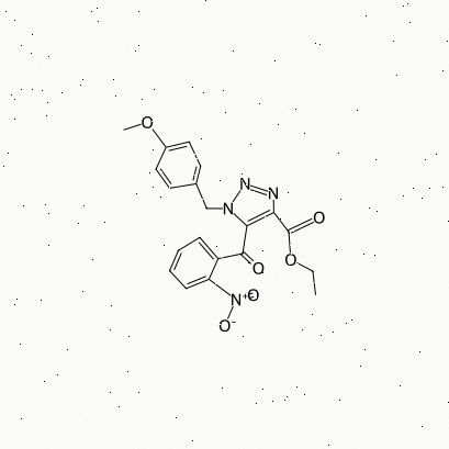 CCOC(=O)c1nnn(Cc2ccc(OC)cc2)c1C(=O)c1ccccc1[N+](=O)[O-]